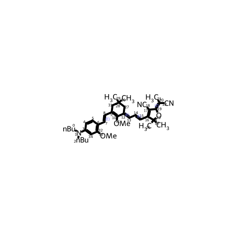 CCCCN(CCCC)c1ccc(/C=C/C2=C(OC)C(=C/C=C/C3=C(C#N)C(=C(\C)C#N)/OC3(C)C)/CC(C)(C)C2)c(OC)c1